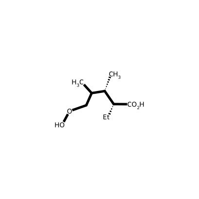 CC[C@@H](C(=O)O)[C@@H](C)C(C)COO